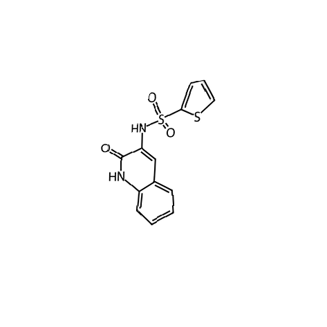 O=c1[nH]c2ccccc2cc1NS(=O)(=O)c1cccs1